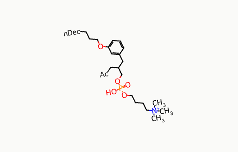 CCCCCCCCCCCCCOc1cccc(CC(COP(=O)(O)OCCCC[N+](C)(C)C)CC(C)=O)c1